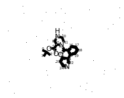 CC(C)(C)OC(=O)C1CNCCN1C(=O)c1ccccc1-c1[c]nccc1